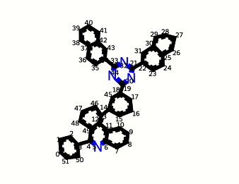 c1ccc(-c2nc3ccccc3c3c(-c4cccc(-c5nc(-c6ccc7ccccc7c6)nc(-c6ccc7ccccc7c6)n5)c4)cccc23)cc1